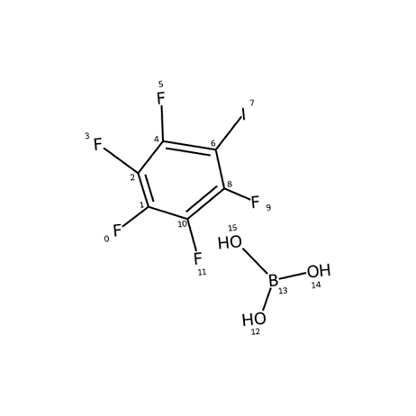 Fc1c(F)c(F)c(I)c(F)c1F.OB(O)O